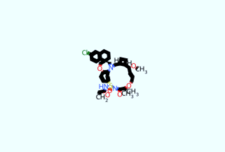 C=CC(=O)N[S@@]1(=O)=NC(=O)C(C)(C)OC/C=C/[C@@H](OC)[C@@H]2CC[C@H]2CN2C[C@@]3(CCCc4cc(Cl)ccc43)COc3ccc1cc32